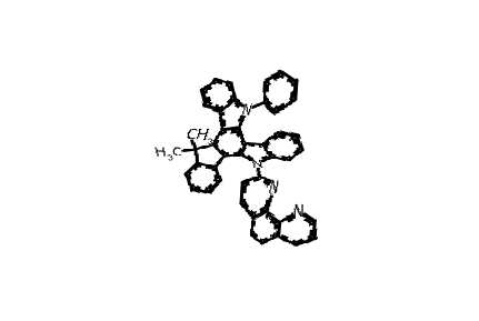 CC1(C)c2ccccc2-c2c1c1c3ccccc3n(-c3ccccc3)c1c1c3ccccc3n(-c3ccc4ccc5cccnc5c4n3)c21